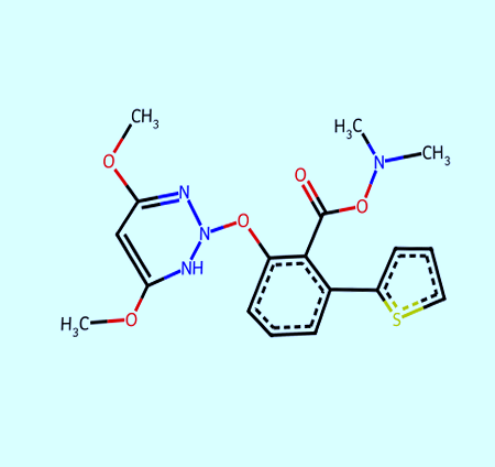 COC1=CC(OC)=NN(Oc2cccc(-c3cccs3)c2C(=O)ON(C)C)N1